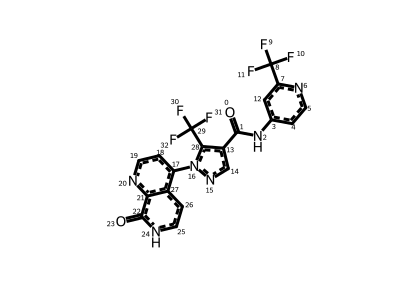 O=C(Nc1ccnc(C(F)(F)F)c1)c1cnn(-c2ccnc3c(=O)[nH]ccc23)c1C(F)(F)F